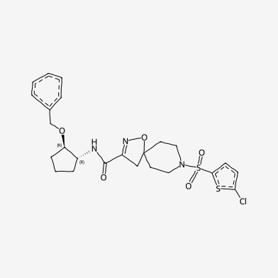 O=C(N[C@@H]1CCC[C@H]1OCc1ccccc1)C1=NOC2(CCN(S(=O)(=O)c3ccc(Cl)s3)CC2)C1